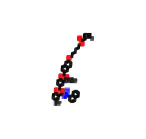 C=CC(=O)OCCCCCCOc1ccc2cc(C(=O)Oc3ccc(C(=O)Oc4ccc(C(C)C)cc4/C=N/Nc4cccc5ccccc45)cc3OC)ccc2c1